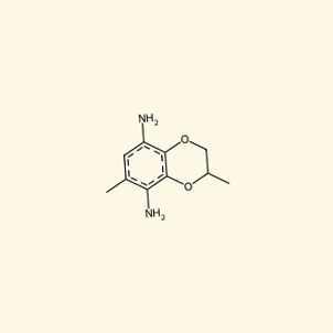 Cc1cc(N)c2c(c1N)OC(C)CO2